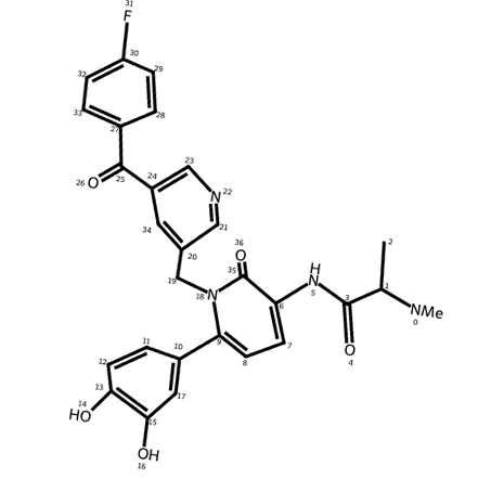 CNC(C)C(=O)Nc1ccc(-c2ccc(O)c(O)c2)n(Cc2cncc(C(=O)c3ccc(F)cc3)c2)c1=O